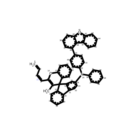 C=C/C=C\C1=C(C)C2(c3ccccc3O1)c1ccccc1-c1ccc(N(c3ccccc3)c3ccc(-c4cccc5oc6ccccc6c45)cc3)cc12